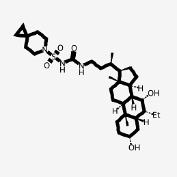 CC[C@H]1[C@@H](O)[C@@H]2[C@H](CC[C@]3(C)[C@@H]([C@H](C)CCNC(=O)NS(=O)(=O)N4CCC5(CC4)CC5)CC[C@@H]23)[C@@]2(C)CC[C@@H](O)C[C@@H]12